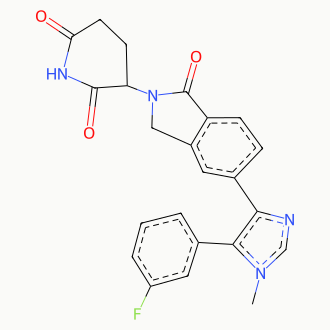 Cn1cnc(-c2ccc3c(c2)CN(C2CCC(=O)NC2=O)C3=O)c1-c1cccc(F)c1